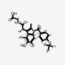 Cc1c([C@@H](C)C(=O)NCC(=O)O)c2c(F)c(O)c(F)cc2n1C(=O)c1ccc(OC(F)(F)F)cc1